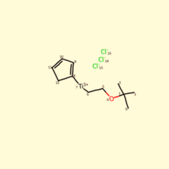 CC(C)(C)OC[CH2][Ti+3][C]1=CC=CC1.[Cl-].[Cl-].[Cl-]